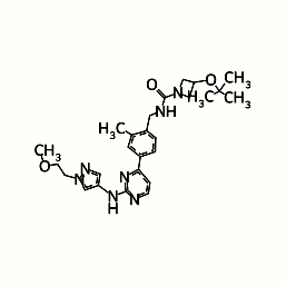 COCCn1cc(Nc2nccc(-c3ccc(CNC(=O)N4CC(OC(C)(C)C)C4)c(C)c3)n2)cn1